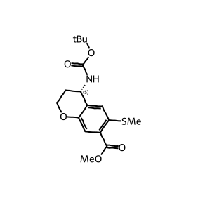 COC(=O)c1cc2c(cc1SC)[C@@H](NC(=O)OC(C)(C)C)CCO2